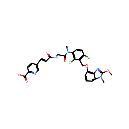 COc1nc2c(OCc3c(Cl)ccc(N(C)C(=O)CNC(=O)C=Cc4ccc(C(=O)O)nc4)c3Cl)cccc2n1C